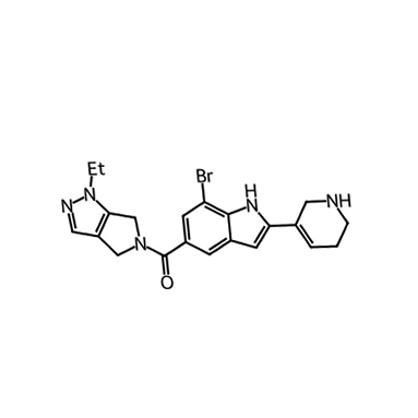 CCn1ncc2c1CN(C(=O)c1cc(Br)c3[nH]c(C4=CCCNC4)cc3c1)C2